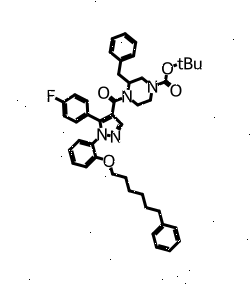 CC(C)(C)OC(=O)N1CCN(C(=O)c2cnn(-c3ccccc3OCCCCCCc3ccccc3)c2-c2ccc(F)cc2)C(Cc2ccccc2)C1